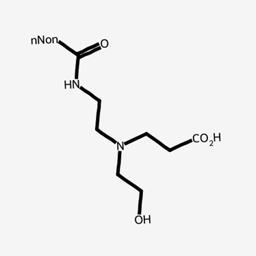 CCCCCCCCCC(=O)NCCN(CCO)CCC(=O)O